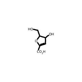 O=C(O)C1=CC(O)C(CO)O1